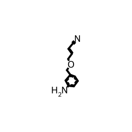 N#CC=CCOCc1cccc(N)c1